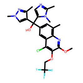 COc1nc2c(C)cc(C(O)(c3cn(C)nc3C)c3cnc(C)n3C)cc2c(Cl)c1OCC(F)(F)F